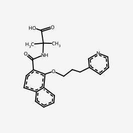 CC(C)(NC(=O)c1ccc2ccccc2c1OCCCc1cccnc1)C(=O)O